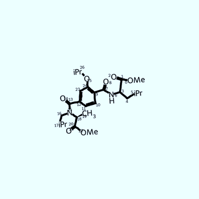 COC(=O)C(CC(C)C)NC(=O)c1ccc(C(=O)N(CC(C)C)[C@@H](C)C(=O)OC)cc1OC(C)C